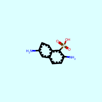 Nc1ccc2c(S(=O)(=O)O)c(N)ccc2c1